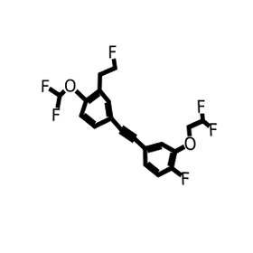 FCCc1cc(C#Cc2ccc(F)c(OCC(F)F)c2)ccc1OC(F)F